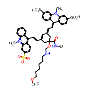 CCNC(=O)C1(OCNCCCCCCOC=O)CC(/C=C/c2c3ccccc3[n+](C)c3cc(S(=O)(=O)[O-])ccc23)=CC(=C/C=C2c3ccc(S(=O)(=O)O)cc3N(C)c3cc(S(=O)(=O)O)ccc32)/C1